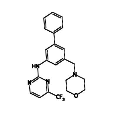 FC(F)(F)c1ccnc(Nc2cc(CN3CCOCC3)cc(-c3ccccc3)c2)n1